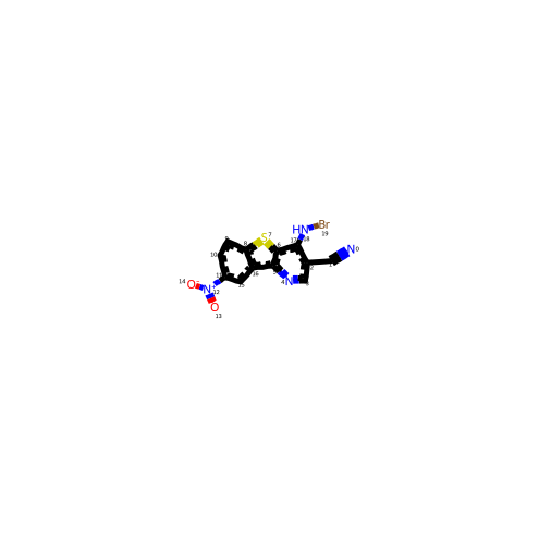 N#Cc1cnc2c(sc3ccc([N+](=O)[O-])cc32)c1NBr